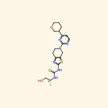 C[C@H](CO)NC(=O)Nc1nc2c(s1)CN(c1nccc(C3CCCOC3)n1)CC2